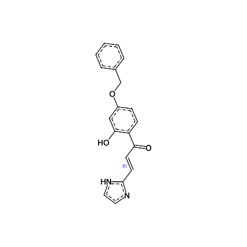 O=C(/C=C/c1ncc[nH]1)c1ccc(OCc2ccccc2)cc1O